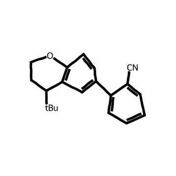 CC(C)(C)C1CCOc2ccc(-c3ccccc3C#N)cc21